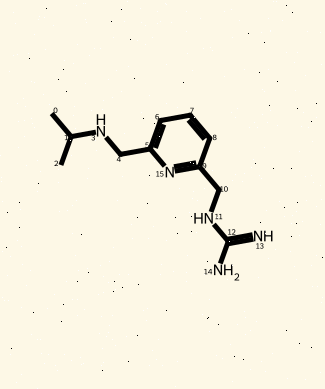 CC(C)NCc1cccc(CNC(=N)N)n1